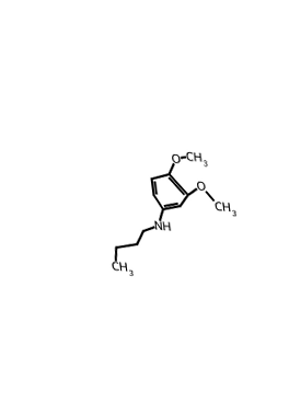 CCCCNc1ccc(OC)c(OC)c1